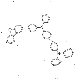 c1ccc(N(c2ccccc2)c2ccc(-c3ccc(N(c4ccccc4)c4ccc(-c5ccc6oc7ccccc7c6c5)cc4)cc3)cc2)cc1